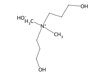 C[N+](C)(CCCO)CCCO.[OH-]